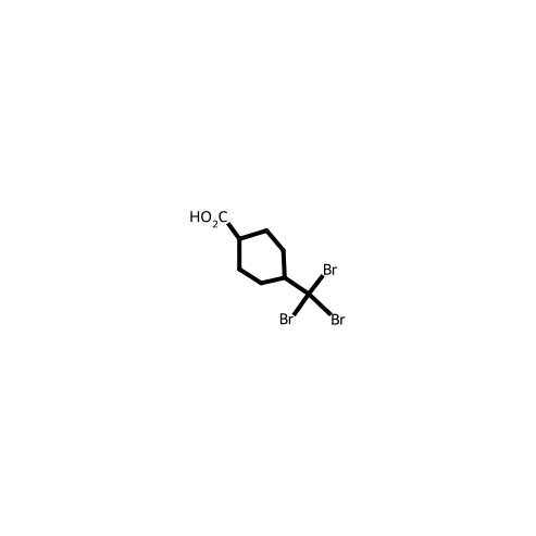 O=C(O)C1CCC(C(Br)(Br)Br)CC1